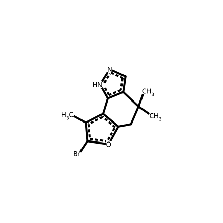 Cc1c(Br)oc2c1-c1[nH]ncc1C(C)(C)C2